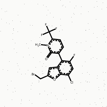 Cn1c(C(F)(F)F)ccc(-c2c(F)cc(Cl)c3oc(CBr)cc23)c1=O